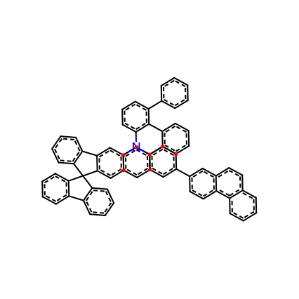 c1ccc(-c2ccccc2-c2c(-c3ccccc3)cccc2N(c2ccc(-c3ccc4c(ccc5ccccc54)c3)cc2)c2ccc3c(c2)-c2ccccc2C32c3ccccc3-c3ccccc32)cc1